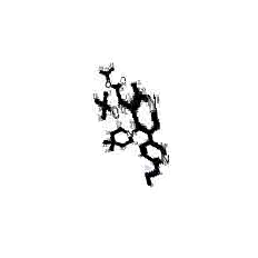 C/C=C/c1ccc(-c2cnc(C)c([C@H](OC(C)(C)C)C(=O)OC(C)C)c2N2CCC(C)(C)CC2)cn1